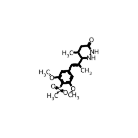 COc1cc(/C=C(\C)C2NNC(=O)CC2C)cc(OC)c1S(C)(=O)=O